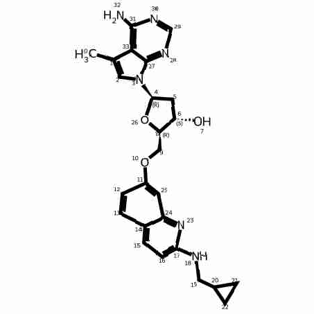 Cc1cn([C@H]2C[C@H](O)[C@@H](COc3ccc4ccc(NCC5CC5)nc4c3)O2)c2ncnc(N)c12